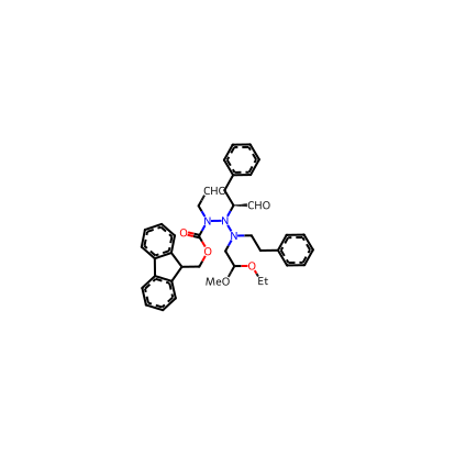 CCOC(CN(CCc1ccccc1)N([C@H](C=O)Cc1ccccc1)N(CC=O)C(=O)OCC1c2ccccc2-c2ccccc21)OC